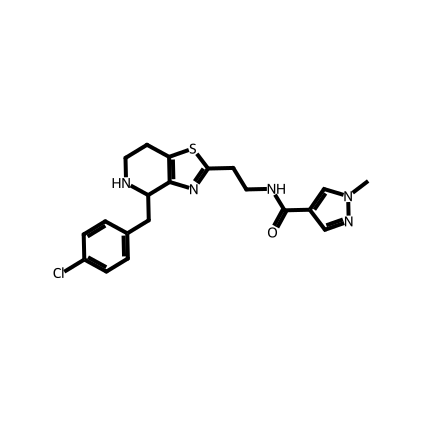 Cn1cc(C(=O)NCCc2nc3c(s2)CCNC3Cc2ccc(Cl)cc2)cn1